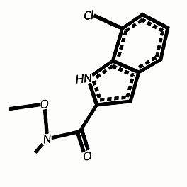 CON(C)C(=O)c1cc2cccc(Cl)c2[nH]1